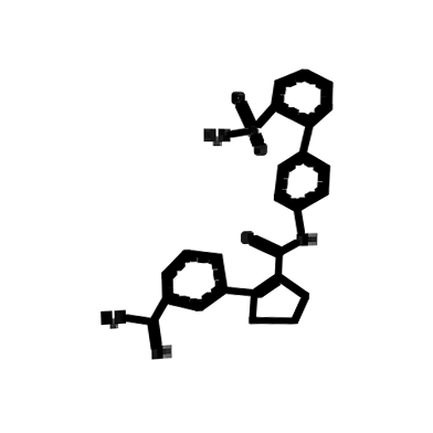 N=C(N)c1cccc(C2=C(C(=O)Nc3ccc(-c4ccccc4S(N)(=O)=O)cc3)CCC2)c1